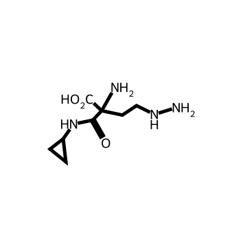 NNCCC(N)(C(=O)O)C(=O)NC1CC1